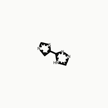 c1nnc(-c2cncs2)[nH]1